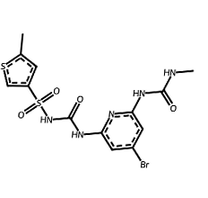 CNC(=O)Nc1cc(Br)cc(NC(=O)NS(=O)(=O)c2csc(C)c2)n1